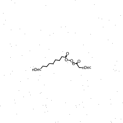 CCCCCCCCCCCCCCCCCC(=O)OOOC(=O)CCCCCCCCCCC